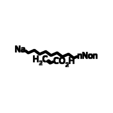 C=CC(=O)O.CCCCCCCCCCCCCCCCC[CH2][Na]